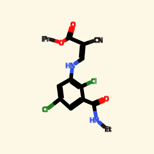 CCNC(=O)c1cc(Cl)cc(NC=C(C#N)C(=O)OC(C)C)c1Cl